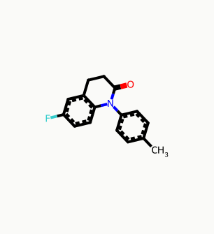 Cc1ccc(N2C(=O)CCc3cc(F)ccc32)cc1